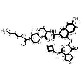 CCCCOC(=O)N1CCN(C(=O)C(CC)NC(=O)c2cc(OCC(=O)N3CCCC3C(=O)NC3CCC3)c3ccc(C)cc3n2)CC1